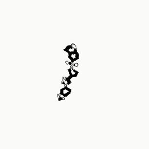 O=S(=O)(c1ccc2c(c1)CCO2)N1CCC(c2cn(-c3ccc4scnc4c3)nn2)C1